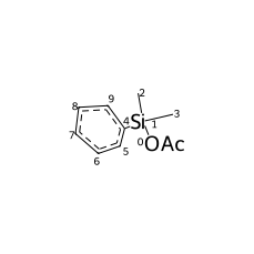 [CH2]C(=O)O[Si](C)(C)c1ccccc1